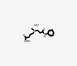 COC(=O)CCCN(C)CCC(=O)Nc1ccccc1.Cl